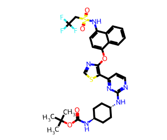 CC(C)(C)OC(=O)N[C@H]1CC[C@H](Nc2nccc(-c3scnc3Oc3ccc(NS(=O)(=O)CC(F)(F)F)c4ccccc34)n2)CC1